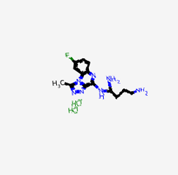 Cc1nnc2c(NC(N)CCCN)nc3ccc(F)cc3n12.Cl.Cl